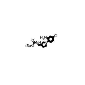 CC(C)(C)OC(=O)NCC1CCN(c2ccc(Cl)cc2N)C1